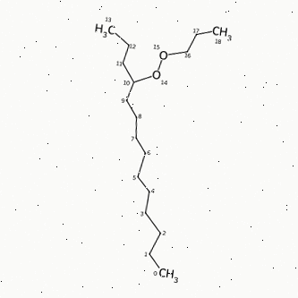 CCCCCCCCCCC(CCC)OOCCC